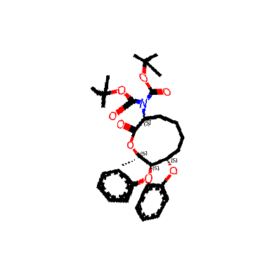 C[C@@H]1OC(=O)[C@@H](N(C(=O)OC(C)(C)C)C(=O)OC(C)(C)C)CCCC[C@H](Oc2ccccc2)[C@H]1Oc1ccccc1